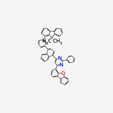 CC1(C)c2ccccc2-c2cccc(-c3cccc(-c4ccc(-c5cc(-c6cccc7c6oc6ccccc67)nc(-c6ccccc6)n5)c5ccccc45)c3)c21